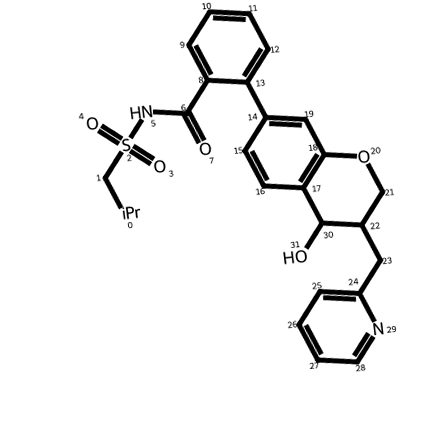 CC(C)CS(=O)(=O)NC(=O)c1ccccc1-c1ccc2c(c1)OCC(Cc1ccccn1)C2O